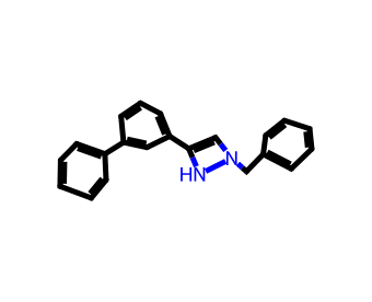 c1ccc(Cn2cc(-c3cccc(-c4ccccc4)c3)[nH]2)cc1